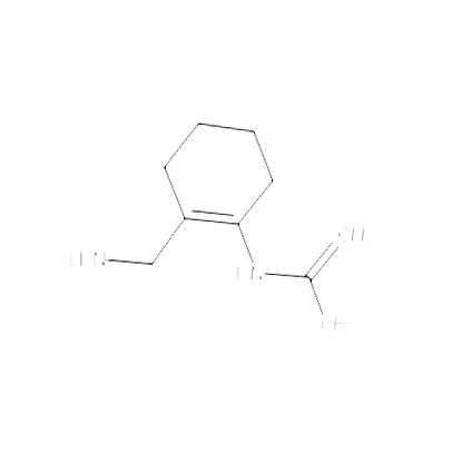 C=C(C)NC1=C(CN)CCCC1